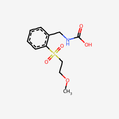 COCCS(=O)(=O)c1ccccc1CNC(=O)O